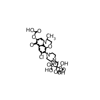 CC1COc2c(N3CCN(CC(O)(P(=O)(O)O)P(=O)(O)O)CC3)c(Cl)cc3c(=O)c(OC(=O)O)cn1c23